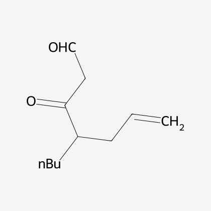 C=CCC(CCCC)C(=O)CC=O